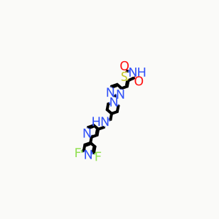 O=C1NC(=O)/C(=C/c2ccnc(N3CCC(CNCc4ccnc(-c5cc(F)nc(F)c5)c4)CC3)n2)S1